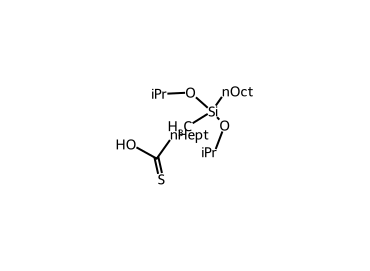 CCCCCCCC(O)=S.CCCCCCCC[Si](C)(OC(C)C)OC(C)C